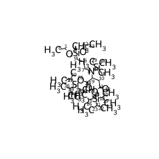 CCO[Si](C)(CCCN(C(CC(=O)O[Si](C(C)C)(C(C)C)C(C)C)C(=O)O[Si](C(C)C)(C(C)C)C(C)C)[Si](C)(C)C)OCC